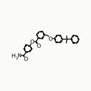 CC(C)(c1ccccc1)c1ccc(OCc2cccc(C(=O)Oc3ccc(C(N)=O)cc3)c2)cc1